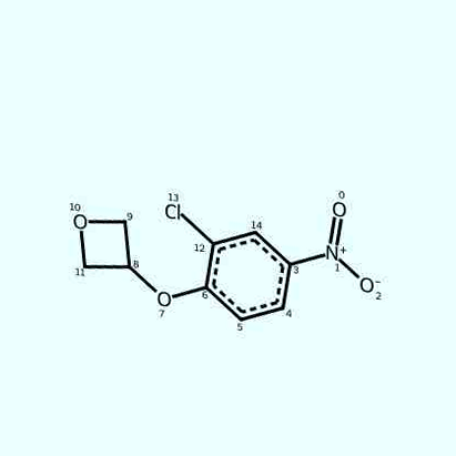 O=[N+]([O-])c1ccc(OC2COC2)c(Cl)c1